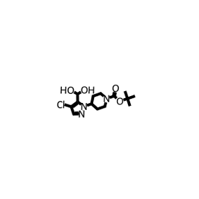 CC(C)(C)OC(=O)N1CCC(n2ncc(Cl)c2C(O)O)CC1